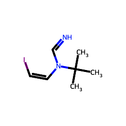 CC(C)(C)N(C=N)/C=C\I